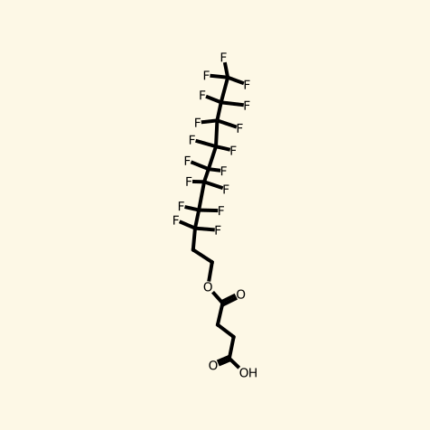 O=C(O)CCC(=O)OCCC(F)(F)C(F)(F)C(F)(F)C(F)(F)C(F)(F)C(F)(F)C(F)(F)C(F)(F)F